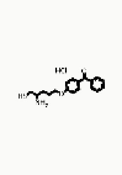 Cl.NC(CS)CCCOc1ccc(C(=O)c2ccccc2)cc1